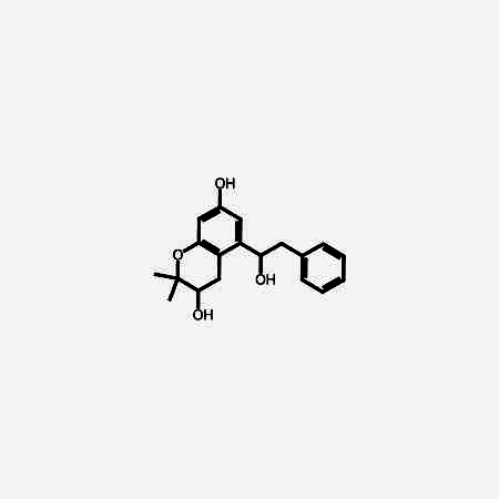 CC1(C)Oc2cc(O)cc(C(O)Cc3ccccc3)c2CC1O